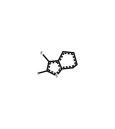 Fc1c(I)sc2ccccc12